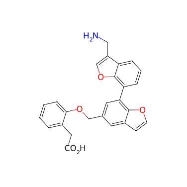 NCc1coc2c(-c3cc(COc4ccccc4CC(=O)O)cc4ccoc34)cccc12